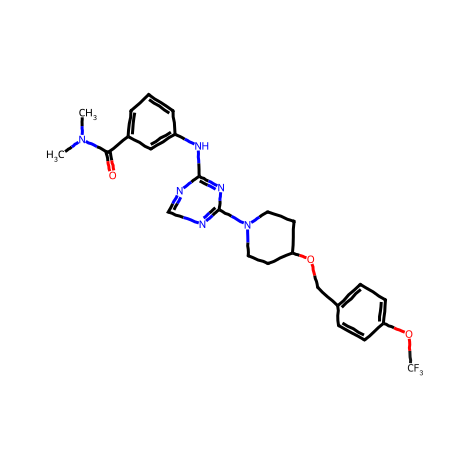 CN(C)C(=O)c1cccc(Nc2ncnc(N3CCC(OCc4ccc(OC(F)(F)F)cc4)CC3)n2)c1